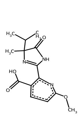 COc1ccc(C(=O)O)c(C2=NC(C)(C(C)C)C(=O)N2)n1